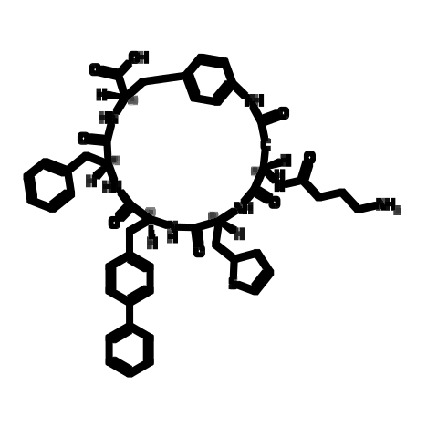 NCCCC(=O)N[C@H]1CC(=O)Nc2ccc(cc2)C[C@@H](C(=O)O)NC(=O)[C@@H](Cc2ccccc2)NC(=O)[C@H](Cc2ccc(-c3ccccc3)cc2)NC(=O)[C@@H](CC2CC=CS2)NC1=O